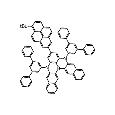 CC(C)(C)c1ccc2ccc3cc(-c4cc5c6c(c4)N(c4cc(-c7ccccc7)cc(-c7ccccc7)c4)c4cc7ccccc7cc4B6c4cc6ccccc6cc4N5c4cc(-c5ccccc5)cc(-c5ccccc5)c4)cc4ccc1c2c34